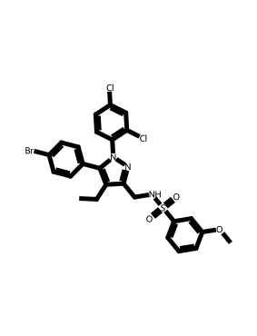 CCc1c(CNS(=O)(=O)c2cccc(OC)c2)nn(-c2ccc(Cl)cc2Cl)c1-c1ccc(Br)cc1